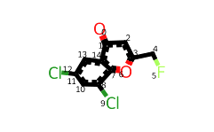 O=c1cc(CF)oc2c(Cl)cc(Cl)cc12